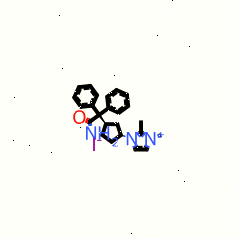 Cc1n([C@@H]2CC[C@@H](C(C(N)=O)(c3ccccc3)c3ccccc3)C2)cc[n+]1C.[I-]